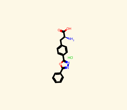 Cl.N[C@@H](Cc1ccc(-c2nnc(-c3ccccc3)o2)cc1)C(=O)O